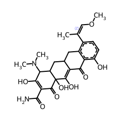 CO/C=C(/C)c1ccc(O)c2c1CC1CC3C(N(C)C)C(O)=C(C(N)=O)C(=O)C3(O)C(O)=C1C2=O